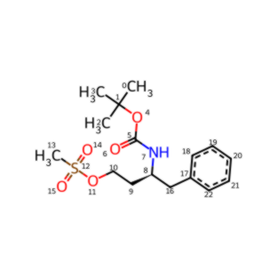 CC(C)(C)OC(=O)N[C@H](CCOS(C)(=O)=O)Cc1ccccc1